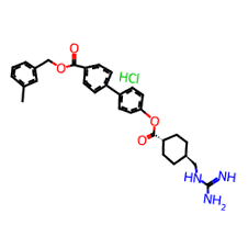 Cc1cccc(COC(=O)c2ccc(-c3ccc(OC(=O)[C@H]4CC[C@H](CNC(=N)N)CC4)cc3)cc2)c1.Cl